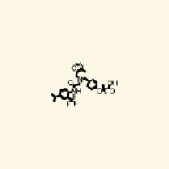 Cc1ncoc1CN(CC(=O)Nc1ccc(C(C)C)cc1C(F)(F)F)Cc1ccc(OC(C)(C)C(=O)O)cc1